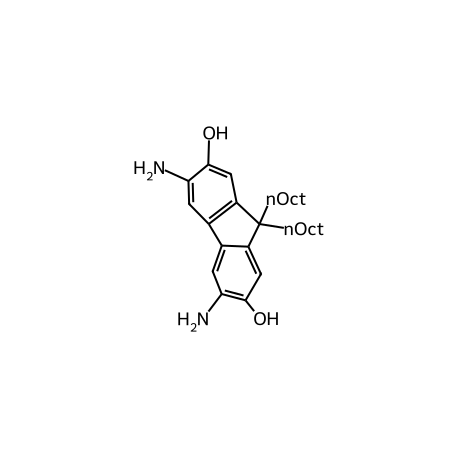 CCCCCCCCC1(CCCCCCCC)c2cc(O)c(N)cc2-c2cc(N)c(O)cc21